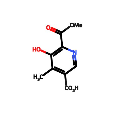 COC(=O)c1ncc(C(=O)O)c(C)c1O